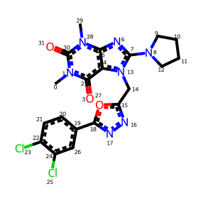 Cn1c(=O)c2c(nc(N3CCCC3)n2Cc2nnc(-c3ccc(Cl)c(Cl)c3)o2)n(C)c1=O